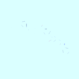 CCC(C)(C)c1ccc(OCCOC(=O)c2cc(Cl)c(-n3[nH]c(NC(=O)Nc4ccc(Cl)cc4)cc3=O)cc2Cl)c(C(C)(C)CC)c1